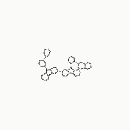 c1ccc(-c2cccc(-n3c4ccccc4c4cc(-c5ccc6c7ccccc7n(-c7ccccc7-c7ccc8ccccc8c7)c6c5)ccc43)c2)cc1